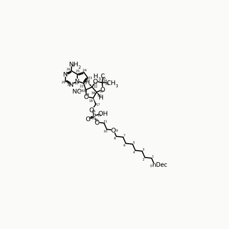 CCCCCCCCCCCCCCCCCCOCCOP(=O)(O)OC[C@H]1O[C@@](C#N)(c2ccc3c(N)ncnn23)[C@@H]2OC(C)(C)O[C@@H]21